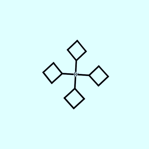 C1CC([B-](C2CCC2)(C2CCC2)C2CCC2)C1